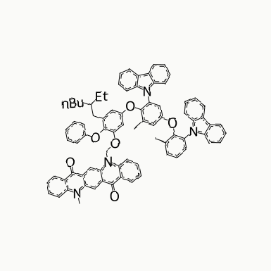 CCCCC(CC)Cc1cc(Oc2c(C)cc(Oc3c(C)cccc3-n3c4ccccc4c4ccccc43)cc2-n2c3ccccc3c3ccccc32)cc(OCn2c3ccccc3c(=O)c3cc4c(cc32)c(=O)c2ccccc2n4C)c1Oc1ccccc1